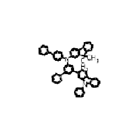 CC1(C)c2ccccc2-c2ccc(N(c3ccc(-c4ccccc4)cc3)c3cc(-c4ccccc4)cc(-c4ccc5c6ccccc6n(-c6ccccc6)c5c4)c3)cc21